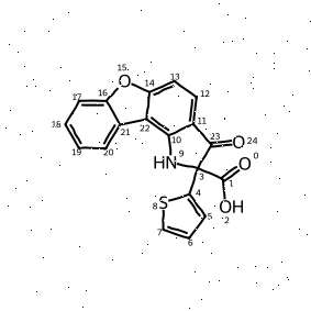 O=C(O)C1(c2cccs2)Nc2c(ccc3oc4ccccc4c23)C1=O